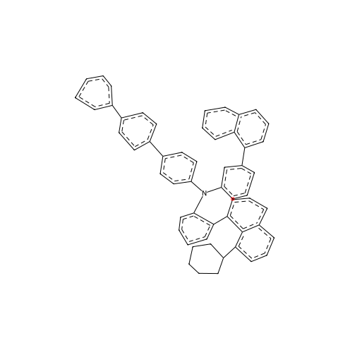 c1ccc(-c2ccc(-c3ccc(N(c4cccc(-c5cccc6ccccc56)c4)c4ccccc4-c4cccc5cccc(C6CCCCC6)c45)cc3)cc2)cc1